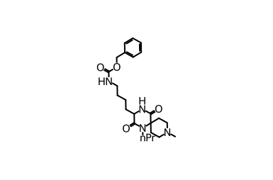 CCCN1C(=O)C(CCCCNC(=O)OCc2ccccc2)NC(=O)C12CCN(C)CC2